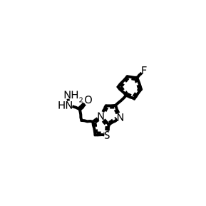 NNC(=O)Cc1csc2nc(-c3ccc(F)cc3)cn12